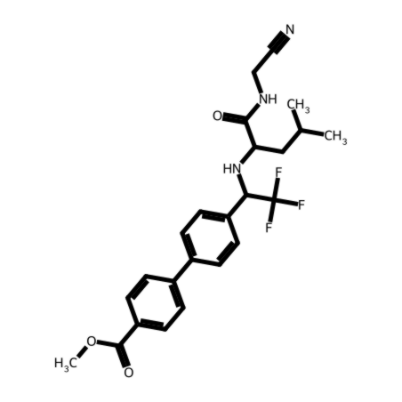 COC(=O)c1ccc(-c2ccc(C(NC(CC(C)C)C(=O)NCC#N)C(F)(F)F)cc2)cc1